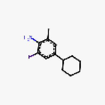 Cc1cc(C2CCCCC2)cc(I)c1N